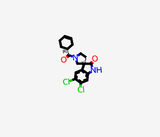 O=C([C@H]1CC=CCC1)N1CC[C@]2(C1)C(=O)Nc1cc(Cl)c(Cl)cc12